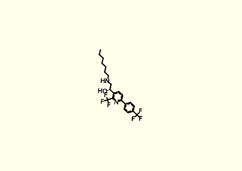 CCCCCCCNC[C@@H](O)c1ccc(-c2ccc(C(F)(F)F)cc2)nc1C(F)(F)F